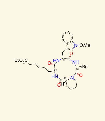 CCOC(=O)CCCCC[C@@H]1NC(=O)[C@H]2CCCCN2C(=O)[C@H](C(C)CC)NC(=O)[C@H](Cc2cn(OC)c3ccccc23)NC1=O